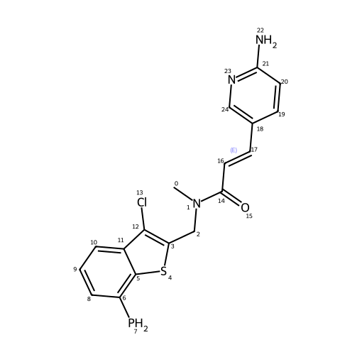 CN(Cc1sc2c(P)cccc2c1Cl)C(=O)/C=C/c1ccc(N)nc1